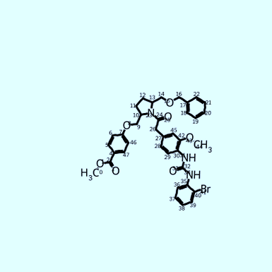 COC(=O)c1ccc(OCC2CCC(COCc3ccccc3)N2C(=O)Cc2ccc(NC(=O)Nc3ccccc3Br)c(OC)c2)cc1